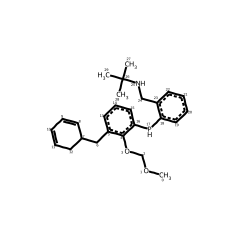 COCOc1c(CC2C=CC=CC2)cccc1Pc1ccccc1CNC(C)(C)C